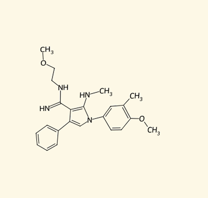 CNc1c(C(=N)NCCOC)c(-c2ccccc2)cn1-c1ccc(OC)c(C)c1